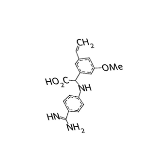 C=Cc1cc(OC)cc(C(Nc2ccc(C(=N)N)cc2)C(=O)O)c1